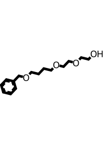 OCCOCCOCCCCOCc1ccccc1